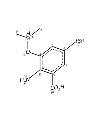 C[SiH](C)Oc1cc(C(C)(C)C)cc(C(=O)O)c1N